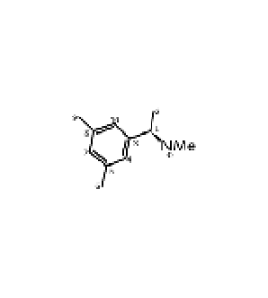 CN[C@H](C)c1cc(C)cc(C)c1